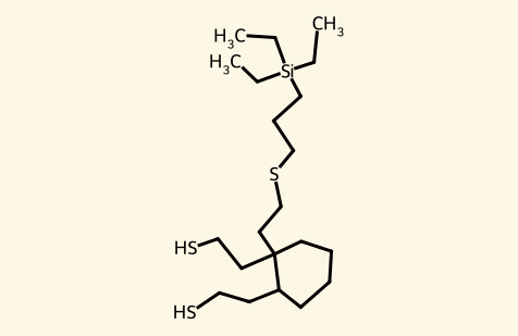 CC[Si](CC)(CC)CCCSCCC1(CCS)CCCCC1CCS